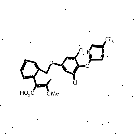 COC(C)=C(C(=O)O)c1ccccc1COc1cc(Cl)c(Oc2ccc(C(F)(F)F)cn2)c(Cl)c1